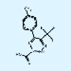 Cc1ccc(C2=NN(C(=O)O)NN=C2C(F)(F)F)cc1